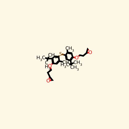 Cc1cc(OCCC2CO2)c(C(C)(C)C)cc1Sc1cc(C(C)(C)C)c(OCCC2CO2)cc1C